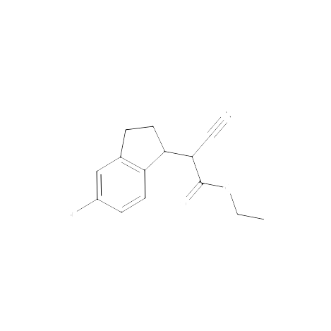 CCOC(=O)C(C#N)C1CCc2cc(Br)ccc21